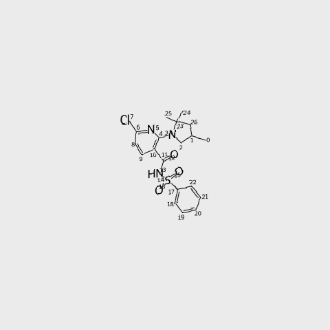 CC1CN(c2nc(Cl)ccc2C(=O)NS(=O)(=O)c2ccccc2)C(C)(C)C1